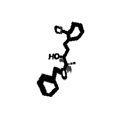 C[C@H](OCc1ccccc1)[C@@H](O)CCc1ccccc1Cl